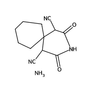 N.N#CC1C(=O)NC(=O)C(C#N)C12CCCCC2